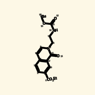 CCOC(=O)c1ccc2ccn(CCNC(=O)OC(C)(C)C)c(=O)c2c1